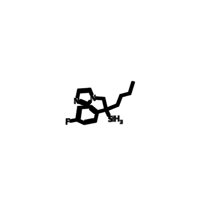 CCCCC([SiH3])(Cn1ccnc1)c1ccc(F)cc1